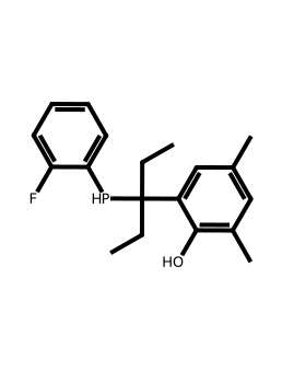 CCC(CC)(Pc1ccccc1F)c1cc(C)cc(C)c1O